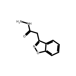 NNC(=O)Cc1noc2ccccc12